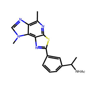 CC(=O)NC(C)c1cccc(-c2nc3c(nc(C)c4ncn(C)c43)s2)c1